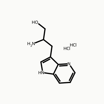 Cl.Cl.NC(CO)Cc1c[nH]c2cccnc12